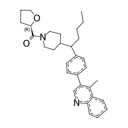 CCCCC(c1ccc(-c2cnc3ccccc3c2C)cc1)C1CCN(C(=O)[C@H]2CCCO2)CC1